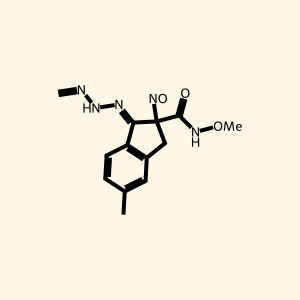 C=NN/N=C1\c2ccc(C)cc2CC1(N=O)C(=O)NOC